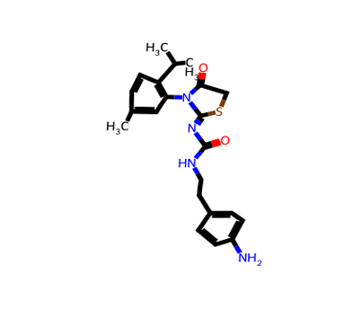 Cc1ccc(C(C)C)c(N2C(=O)CSC2=NC(=O)NCCc2ccc(N)cc2)c1